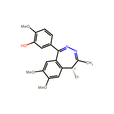 CC[C@H]1C(C)=NN=C(c2ccc(OC)c(O)c2)c2cc(OC)c(OC)cc21